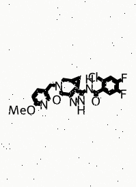 COc1ccc(CN(CC2CC2)C(=O)c2cc(NC(=O)c3cc(F)c(F)cc3Cl)[nH]n2)cn1